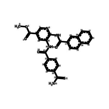 COC(=O)c1cnc(NC(=O)c2ccc3ccccc3c2)c(NC(=O)c2ccc(C(N)=S)cc2)c1